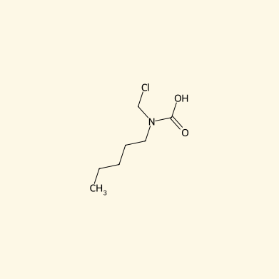 CCCCCN(CCl)C(=O)O